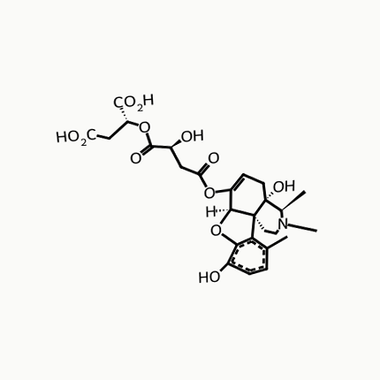 Cc1ccc(O)c2c1[C@]13CCN(C)[C@H](C)[C@]1(O)CC=C(OC(=O)C[C@H](O)C(=O)O[C@H](CC(=O)O)C(=O)O)[C@@H]3O2